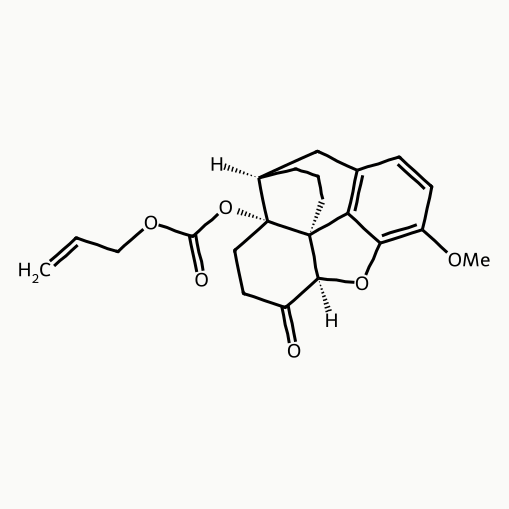 C=CCOC(=O)O[C@@]12CCC(=O)[C@@H]3Oc4c(OC)ccc5c4[C@@]31CCC[C@@H]2C5